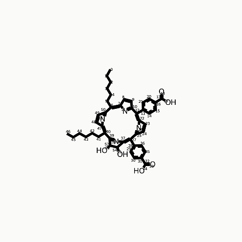 CCCCCCC1=C2C=CC(=N2)C(c2ccc(C(=O)O)cc2)=C2C=CC(=N2)C(c2ccc(C(=O)O)cc2)=C2N=C(C(CCCCCC)=C3C=CC1=N3)C(O)C2O